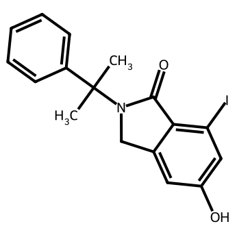 CC(C)(c1ccccc1)N1Cc2cc(O)cc(I)c2C1=O